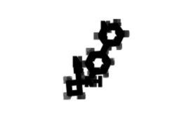 N#CC1(Nc2ccc(-c3cccnc3)cc2)CCC1